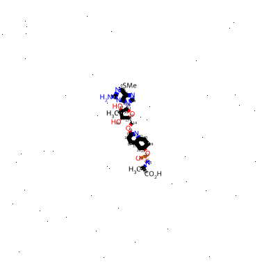 CSc1nc(N)nc2c1ncn2[C@@H]1O[C@H](COc2ccc3cc(O/[P+]([O-])=N/C(C)C(=O)O)ccc3n2)[C@@H](O)[C@@]1(C)O